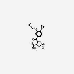 NC(=O)C1CS(=O)(=O)CC1C(=O)c1ccc(C2CC2)c(OCC2CC2)n1